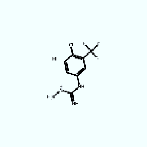 I.N=C(NN)Nc1ccc(Cl)c(C(F)(F)F)c1